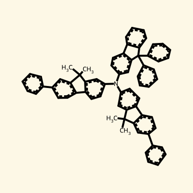 CC1(C)c2cc(-c3ccccc3)ccc2-c2ccc(N(c3ccc4c(c3)C(C)(C)c3cc(-c5ccccc5)ccc3-4)c3ccc4c(c3)C(c3ccccc3)(c3ccccc3)c3ccccc3-4)cc21